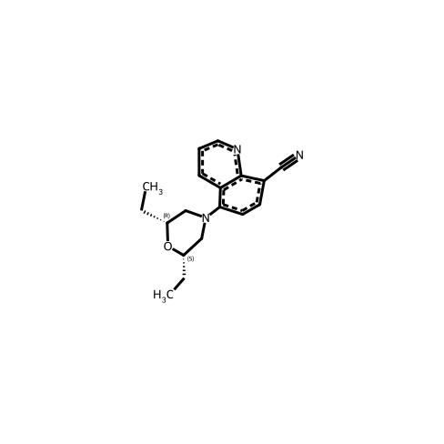 CC[C@@H]1CN(c2ccc(C#N)c3ncccc23)C[C@H](CC)O1